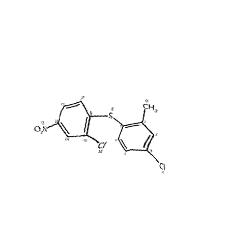 Cc1cc(Cl)ccc1Sc1ccc([N+](=O)[O-])cc1Cl